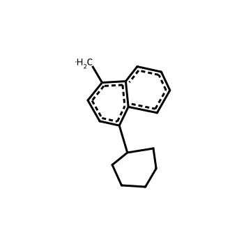 [CH2]c1ccc(C2CCCCC2)c2ccccc12